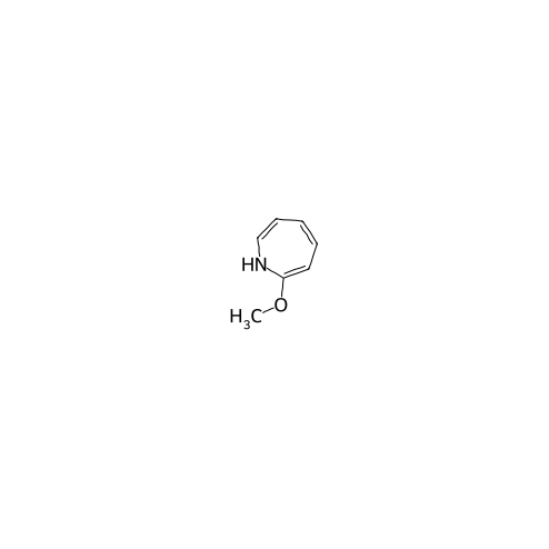 COC1=CC=CC=CN1